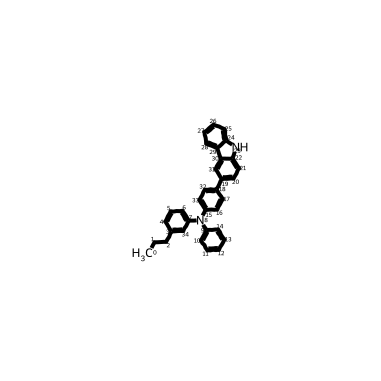 CCCc1cccc(N(c2ccccc2)c2ccc(-c3ccc4[nH]c5ccccc5c4c3)cc2)c1